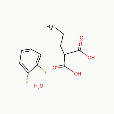 CCCC(C(=O)O)C(=O)O.Fc1ccccc1F.O